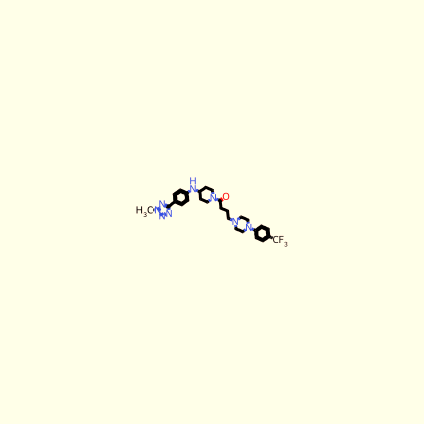 Cn1nnc(-c2ccc(NC3CCN(C(=O)CCCN4CCN(c5ccc(C(F)(F)F)cc5)CC4)CC3)cc2)n1